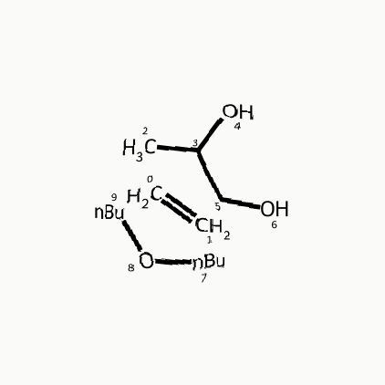 C=C.CC(O)CO.CCCCOCCCC